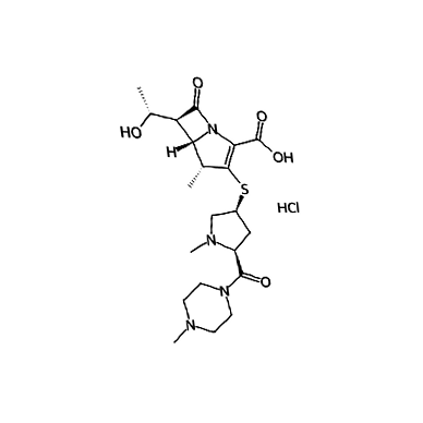 C[C@@H](O)[C@H]1C(=O)N2C(C(=O)O)=C(S[C@H]3C[C@@H](C(=O)N4CCN(C)CC4)N(C)C3)[C@H](C)[C@H]12.Cl